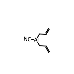 C=C[CH2][Al]([C]#N)[CH2]C=C